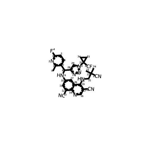 Cc1nc(F)ccc1C(Nc1cc(C#N)c2ncc(C#N)c(NCC(C)(C)C#N)c2c1)c1cn(C2(C(F)(F)F)CC2)nn1